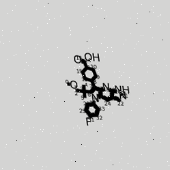 COCC(C)(C)c1c(C2CCC(C(=O)O)CC2)c2nc3[nH]ncc3cc2n1-c1ccc(F)cc1